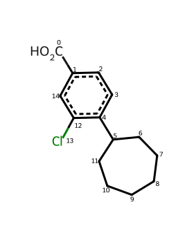 O=C(O)c1ccc(C2CCCCCC2)c(Cl)c1